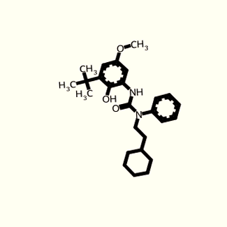 COc1cc(NC(=O)N(CCC2CCCCC2)c2ccccc2)c(O)c(C(C)(C)C)c1